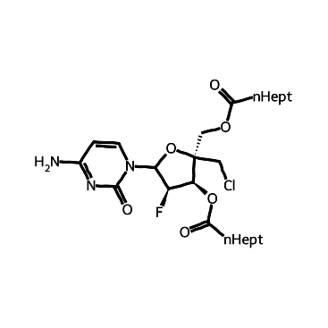 CCCCCCCC(=O)OC[C@@]1(CCl)OC(n2ccc(N)nc2=O)[C@H](F)[C@@H]1OC(=O)CCCCCCC